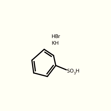 Br.O=S(=O)(O)c1ccccc1.[KH]